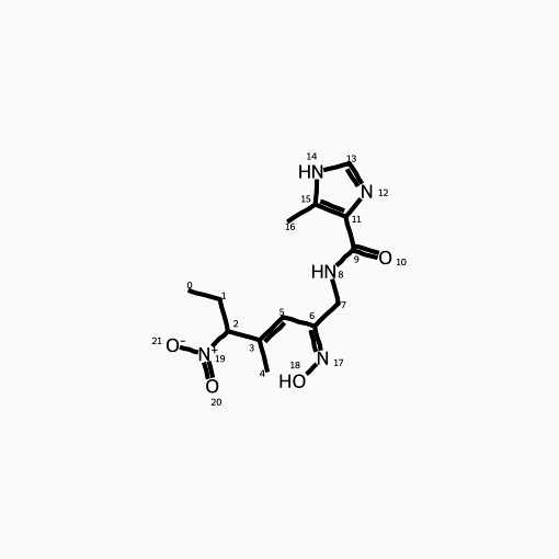 CCC(/C(C)=C/C(CNC(=O)c1nc[nH]c1C)=N\O)[N+](=O)[O-]